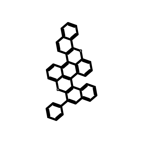 c1ccc(-c2cc3ccccc3c3c2oc2cccc4c2c3c2cccc3oc5c6ccccc6ccc5c4c32)cc1